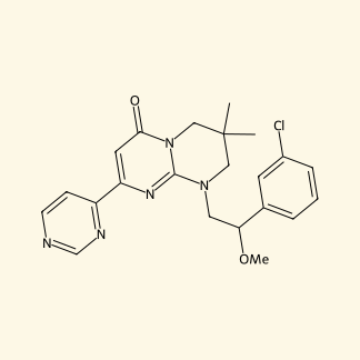 COC(CN1CC(C)(C)Cn2c1nc(-c1ccncn1)cc2=O)c1cccc(Cl)c1